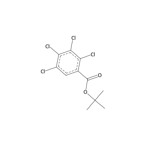 CC(C)(C)OC(=O)c1cc(Cl)c(Cl)c(Cl)c1Cl